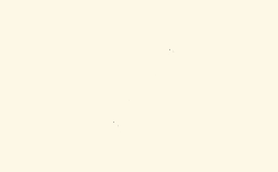 C1CCC(C2CCC(N3C4CCCCC4C4CC(C5CCCC(C6CCC7C8CCCCC8N(C8CC(C9CCCCC9)CC(C9CCCCC9)C8)C7C6)C5)CCC43)CC2)CC1